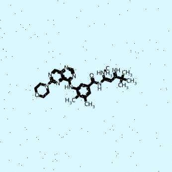 CN/C(=C\C(=N)C(C)(C)C)NC(=O)c1cc(C)c(C)c(Nc2ncnc3cnc(N4CCOCC4)nc23)c1